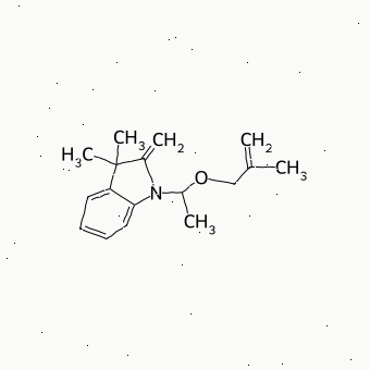 C=C(C)COC(C)N1C(=C)C(C)(C)c2ccccc21